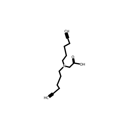 C#CCCCCN(CCCCC#C)CC(=O)O